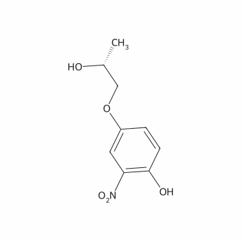 C[C@@H](O)COc1ccc(O)c([N+](=O)[O-])c1